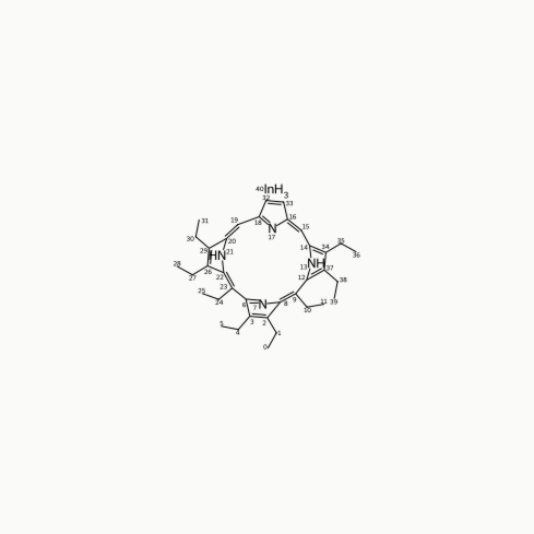 CCC1=C(CC)c2nc1c(CC)c1[nH]c(cc3nc(cc4[nH]c(c2CC)c(CC)c4CC)C=C3)c(CC)c1CC.[InH3]